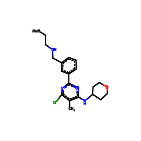 CNCCNCc1cccc(-c2nc(Cl)c(C)c(NC3CCOCC3)n2)c1